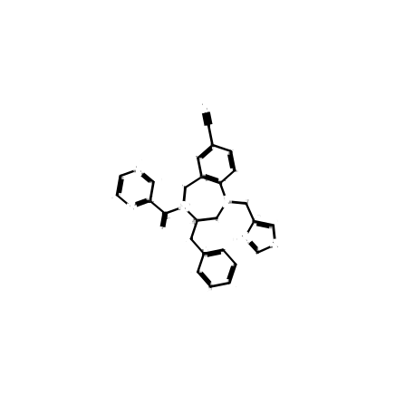 N#Cc1ccc2c(c1)CN(C(=O)c1cnccn1)C(Cc1ccccc1)CN2Cc1c[nH]cn1